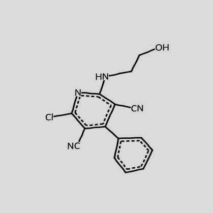 N#Cc1c(Cl)nc(NCCO)c(C#N)c1-c1ccccc1